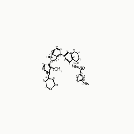 Cc1c(-c2nc3c(-c4ccc5c(c4)CCC[C@@H]5NC(=O)c4nc(C(C)(C)C)no4)ccnc3[nH]2)cnn1C1CCOCC1